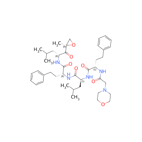 CC(C)C[C@H](NC(=O)[C@H](CCc1ccccc1)NC(=O)CN1CCOCC1)C(=O)N[C@H](CCc1ccccc1)C(=O)N[C@H](CC(C)C)C(=O)[C@@]1(C)CO1